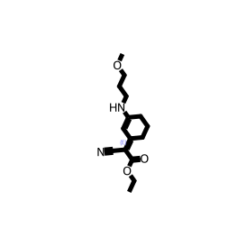 CCOC(=O)/C(C#N)=C1/C=C(NCCCOC)CCC1